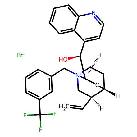 C=C[C@H]1C[N+]2(Cc3cccc(C(F)(F)F)c3)CC[C@H]1C[C@@H]2[C@@H](O)c1ccnc2ccccc12.[Br-]